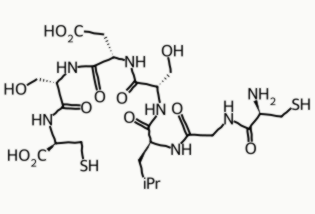 CC(C)C[C@H](NC(=O)CNC(=O)[C@@H](N)CS)C(=O)N[C@@H](CO)C(=O)N[C@@H](CC(=O)O)C(=O)N[C@@H](CO)C(=O)N[C@@H](CS)C(=O)O